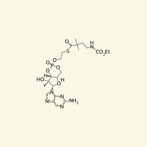 CCOC(=O)NCCC(C)(C)C(=O)SCCO[P@]1(=O)OC[C@H]2O[C@@H](n3cnc4cnc(N)nc43)[C@](C)(O)[C@@H]2O1